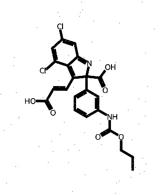 CCCOC(=O)Nc1cccc(C2(C(=O)O)N=c3cc(Cl)cc(Cl)c3=C2C=CC(=O)O)c1